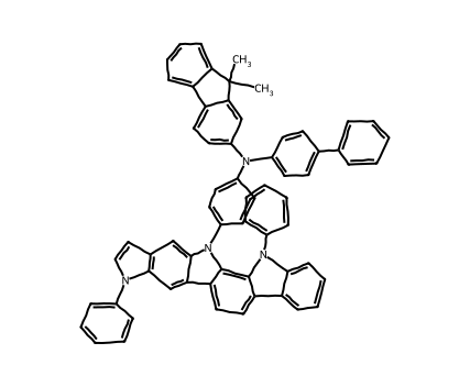 CC1(C)c2ccccc2-c2ccc(N(c3ccc(-c4ccccc4)cc3)c3ccc(-n4c5cc6ccn(-c7ccccc7)c6cc5c5ccc6c7ccccc7n(-c7ccccc7)c6c54)cc3)cc21